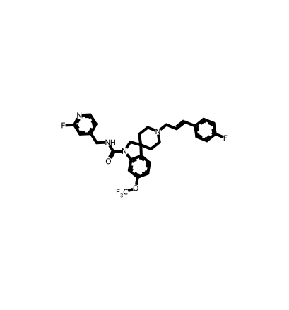 O=C(NCc1ccnc(F)c1)N1CC2(CCN(CC=Cc3ccc(F)cc3)CC2)c2ccc(OC(F)(F)F)cc21